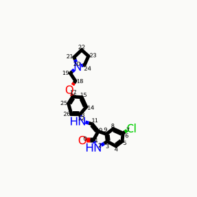 O=C1Nc2ccc(Cl)cc2C1=CNc1ccc(OCCN2CCCC2)cc1